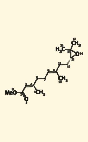 COC(=O)/C=C(\C)CC/C=C(\C)CC[C@H]1OC1(C)C